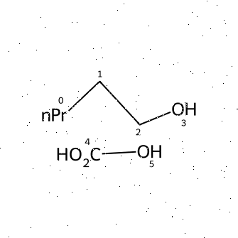 CCCCCO.O=C(O)O